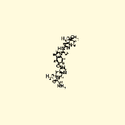 C[C@H]1Cc2c(ncnc2Oc2ccc3c(ccn3C(=O)Nc3cc4n(n3)CCC4(C)C)c2)CN1C(=O)CN